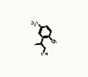 [CH2]C(CO)c1cc([N+](=O)[O-])ccc1C#N